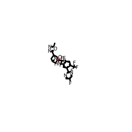 Cc1nnc(C23CC(CC(C(F)(F)F)C2)N3C(=O)Nc2cc(-c3ncc(F)cn3)c(C(F)(F)F)cc2F)o1